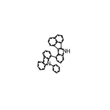 c1ccc(-n2c3ccccc3c3cccc(-c4cccc5[nH]c6c(c45)-c4cccc5cccc-6c45)c32)cc1